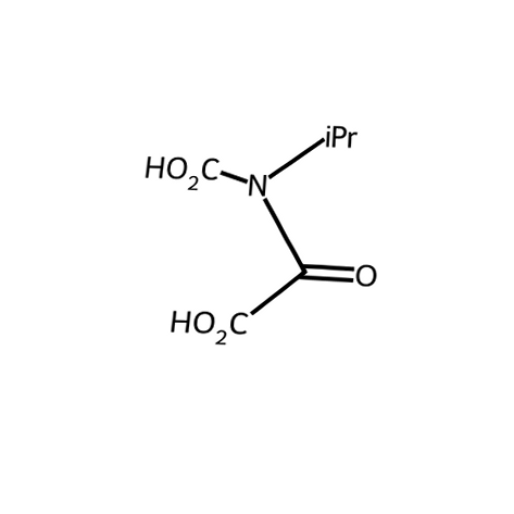 CC(C)N(C(=O)O)C(=O)C(=O)O